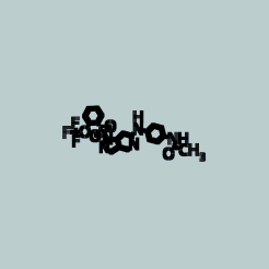 CC(=O)Nc1ccc(Nc2cc3c(cn2)cnn3S(=O)(=O)c2ccccc2OC(F)(F)F)cc1